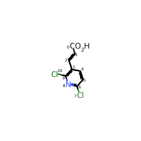 O=C(O)C=Cc1ccc(Cl)nc1Cl